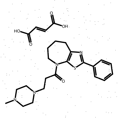 CN1CCN(CCC(=O)N2CCCCc3nc(-c4ccccc4)sc32)CC1.O=C(O)/C=C/C(=O)O